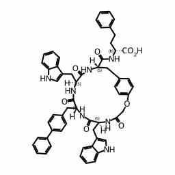 O=C1COc2ccc(cc2)C[C@@H](C(=O)N[C@H](CCc2ccccc2)C(=O)O)NC(=O)[C@H](Cc2c[nH]c3ccccc23)NC(=O)[C@@H](Cc2ccc(-c3ccccc3)cc2)NC(=O)[C@H](Cc2c[nH]c3ccccc23)N1